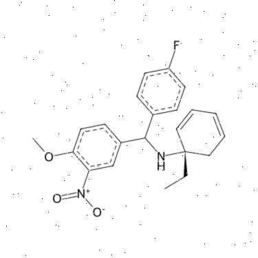 CC[C@@]1(NC(c2ccc(F)cc2)c2ccc(OC)c([N+](=O)[O-])c2)C=CC=CC1